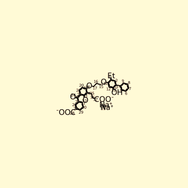 CCc1cc(-c2ccccc2)c(O)cc1OCCCOc1ccc2c(=O)c3cc(C(=O)[O-])ccc3oc2c1CCC(=O)[O-].[Na+].[Na+]